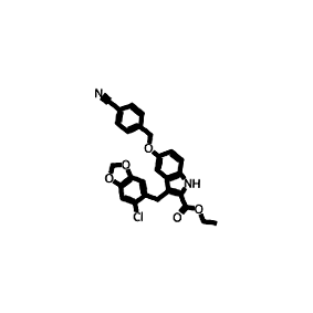 CCOC(=O)c1[nH]c2ccc(OCc3ccc(C#N)cc3)cc2c1Cc1cc2c(cc1Cl)OCO2